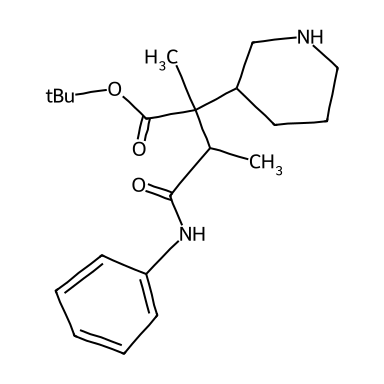 CC(C(=O)Nc1ccccc1)C(C)(C(=O)OC(C)(C)C)C1CCCNC1